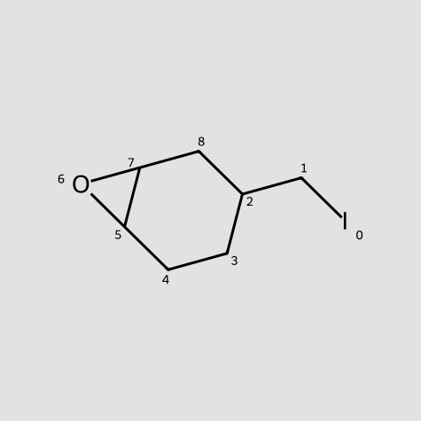 ICC1CCC2OC2C1